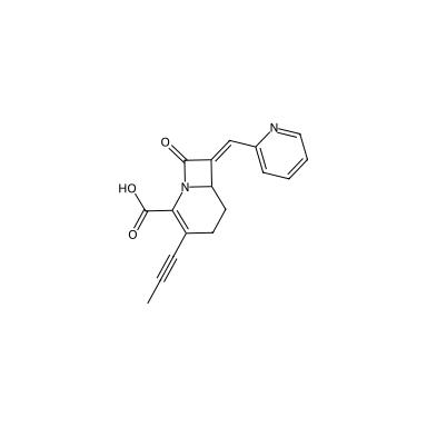 CC#CC1=C(C(=O)O)N2C(=O)/C(=C/c3ccccn3)C2CC1